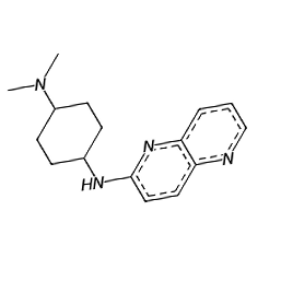 CN(C)C1CCC(Nc2ccc3ncccc3n2)CC1